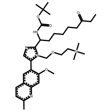 CCC(=O)CCCCCC(NC(=O)OC(C)(C)C)c1ncc(-c2cc3ccc(C)nc3cc2OC)n1COCC[Si](C)(C)C